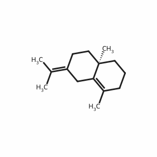 CC(C)=C1CC[C@@]2(C)CCCC(C)=C2C1